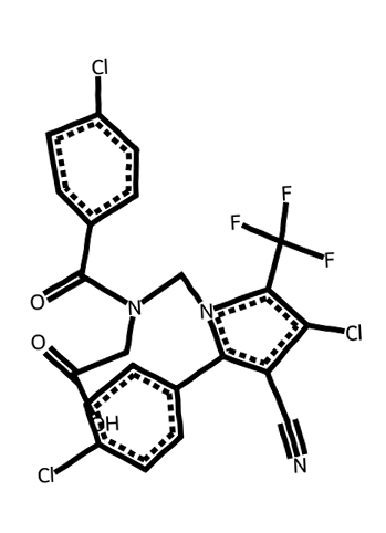 N#Cc1c(Cl)c(C(F)(F)F)n(CN(CC(=O)O)C(=O)c2ccc(Cl)cc2)c1-c1ccc(Cl)cc1